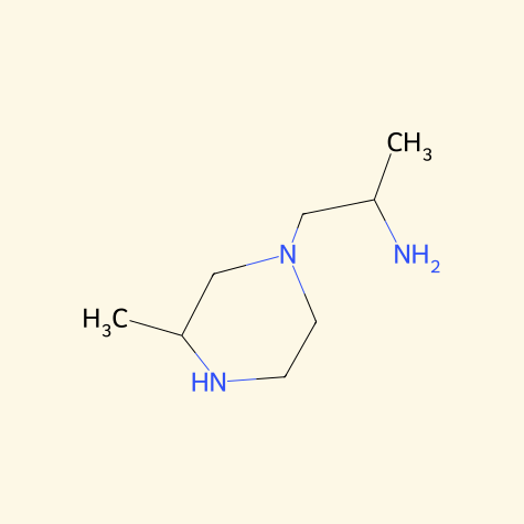 CC(N)CN1CCNC(C)C1